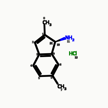 CC1=Cc2ccc(C)cc2[C@@H]1N.Cl